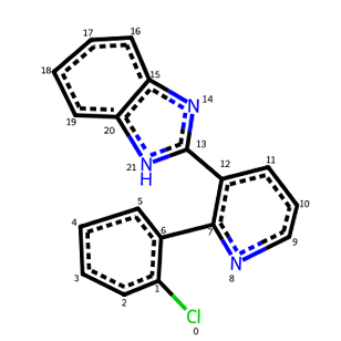 Clc1ccccc1-c1ncccc1-c1nc2ccccc2[nH]1